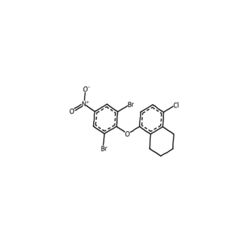 O=[N+]([O-])c1cc(Br)c(Oc2ccc(Cl)c3c2CCCC3)c(Br)c1